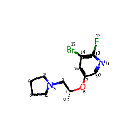 C[C@H](CN1CCCC1)Oc1cnc(F)c(Br)c1